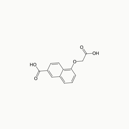 O=C(O)COc1cccc2cc(C(=O)O)ccc12